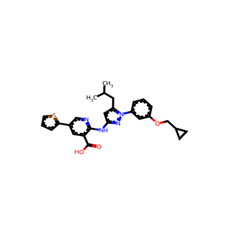 CC(C)Cc1cc(Nc2ncc(-c3cccs3)cc2C(=O)O)nn1-c1cccc(OCC2CC2)c1